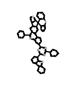 c1ccc(-c2nc(-c3ccc4c(c3)nc(-c3ccccc3)c3cc5c(cc34)C3(c4ccccc4Sc4ccccc43)c3ccccc3-5)nc(-c3cccc4c3sc3ccccc34)n2)cc1